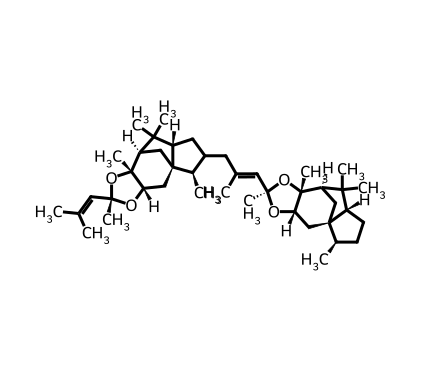 CC(C)=C[C@@]1(C)O[C@H]2C[C@@]34C[C@H](C(C)(C)[C@@H]3CC(C/C(C)=C/[C@]3(C)O[C@H]5C[C@@]67C[C@H](C(C)(C)[C@@H]6CC[C@H]7C)[C@@]5(C)O3)[C@H]4C)[C@@]2(C)O1